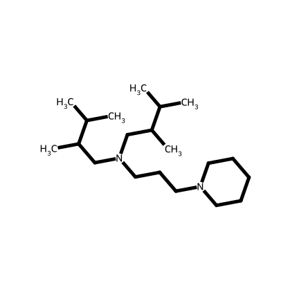 CC(C)C(C)CN(CCCN1CCCCC1)CC(C)C(C)C